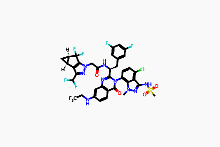 Cn1nc(NS(C)(=O)=O)c2c(Cl)ccc(-n3c([C@H](Cc4cc(F)cc(F)c4)NC(=O)Cn4nc(C(F)F)c5c4C(F)(F)[C@@H]4C[C@H]54)nc4cc(NCC(F)(F)F)ccc4c3=O)c21